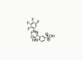 O=C1Nc2ccc(S(=O)(=O)O)cc2C1=NN(F)c1cc(F)c(F)c(F)c1F